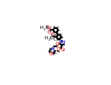 CCOC(=O)c1cnn(-c2ccc(-c3cccc(C(=O)OC)c3OC(C)(C)C)cc2)c1OCCN1CCOCC1